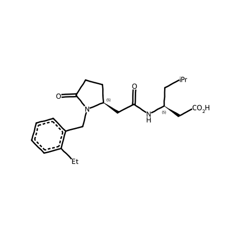 CCc1ccccc1CN1C(=O)CC[C@H]1CC(=O)N[C@H](CC(=O)O)CC(C)C